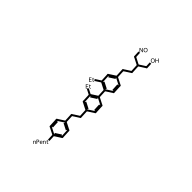 CCCCCc1ccc(CCc2ccc(-c3ccc(CCC(CO)CN=O)cc3CC)c(CC)c2)cc1